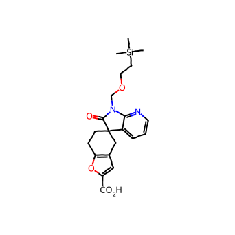 C[Si](C)(C)CCOCN1C(=O)C2(CCc3oc(C(=O)O)cc3C2)c2cccnc21